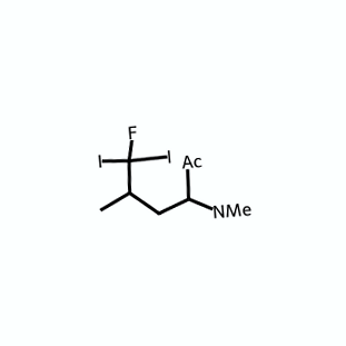 CNC(CC(C)C(F)(I)I)C(C)=O